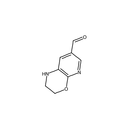 O=Cc1cnc2c(c1)NCCO2